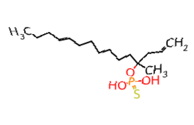 C=CCC(C)(CCCCCCCCCCC)OP(O)(O)=S